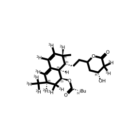 [2H]C1=C([2H])[C@]([2H])(C)[C@H](CCC2C[C@@H](O)C([2H])([2H])C(=O)O2)[C@@H]2C1=C([2H])[C@]([2H])(C([2H])([2H])[2H])C([2H])([2H])[C@@H]2OC(=O)[C@@H](C)CC